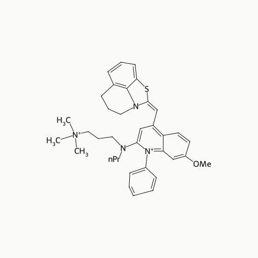 CCCN(CCC[N+](C)(C)C)c1cc(C=C2Sc3cccc4c3N2CCC4)c2ccc(OC)cc2[n+]1-c1ccccc1